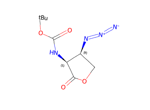 CC(C)(C)OC(=O)N[C@@H]1C(=O)OC[C@@H]1N=[N+]=[N-]